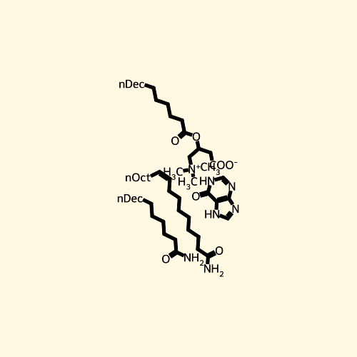 CCCCCCCC/C=C\CCCCCCCC(N)=O.CCCCCCCCCCCCCCCC(=O)OC(CC(=O)[O-])C[N+](C)(C)C.CCCCCCCCCCCCCCCC(N)=O.O=c1[nH]cnc2nc[nH]c12